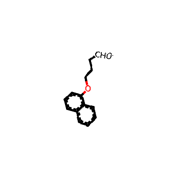 O=[C]CCCOc1cccc2ccccc12